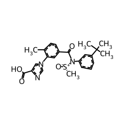 Cc1ccc(C(=O)N(c2cccc(C(C)(C)C)c2)[S@@+](C)[O-])cc1-n1cnc(C(=O)O)c1